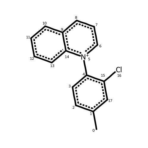 Cc1ccc(-[n+]2cccc3ccccc32)c(Cl)c1